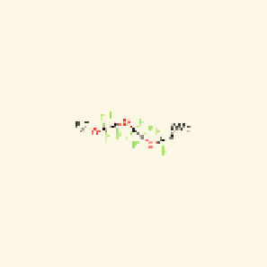 COCC(F)(F)OC(F)(F)C(F)(F)OC(F)(F)C(F)(F)OC(F)(F)F